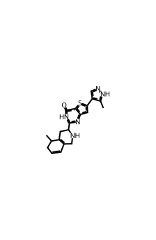 Cc1[nH]ncc1-c1cc2nc(C3CC4=C(C=CCC4C)CN3)[nH]c(=O)c2s1